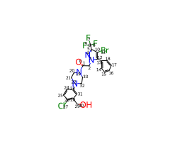 O=C(Cn1nc(C(F)(F)F)c(Br)c1-c1ccccc1)N1CCN(c2ccc(Cl)c(CO)c2)CC1